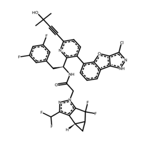 CC(C)(O)C#Cc1ccc(-c2cccc3c2oc2c(Cl)n[nH]c23)c([C@H](Cc2cc(F)cc(F)c2)NC(=O)Cn2nc(C(F)F)c3c2C(F)(F)C2C[C@H]32)n1